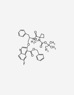 CN(C(=O)OC(C)(C)C)C1(C(=O)NC(COc2cnc3ccc(F)cc3c2C(=O)OCc2ccccc2)Cc2ccccc2)CCC1